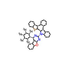 [2H]c1c([2H])c([2H])c(-c2nc(-n3c4ccccc4c4c5ccccc5c5c6ccccc6sc5c43)nc3oc4ccccc4c23)c([2H])c1[2H]